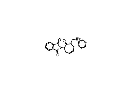 CC(C)CN1C(=O)C(N2C(=O)c3ccccc3C2=O)CC=C[C@H]1c1ccccc1